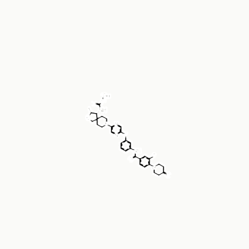 C[C@@H]1OCC2(CCN(c3cnc(Sc4cccc(NC(=O)c5ccc(N6CCC(=O)CC6)c(F)c5)c4)cn3)CC2)[C@@H]1NC(=O)OC(C)(C)C